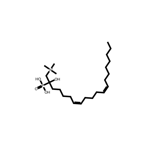 CCCCCCC/C=C\CCC/C=C\CCCCC(O)(C[N+](C)(C)C)P(=O)(O)O